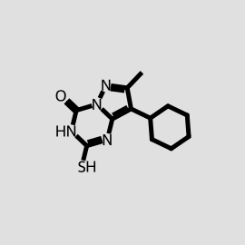 Cc1nn2c(=O)[nH]c(S)nc2c1C1CCCCC1